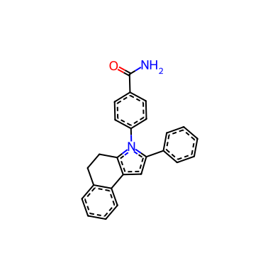 NC(=O)c1ccc(-n2c(-c3ccccc3)cc3c2CCc2ccccc2-3)cc1